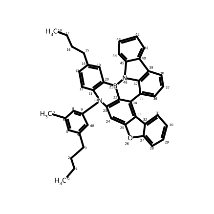 CCCCc1cc(C)cc(N2c3ccc(CCCC)cc3B3c4c2cc2oc5ccccc5c2c4-c2cccc4c5ccccc5n3c24)c1